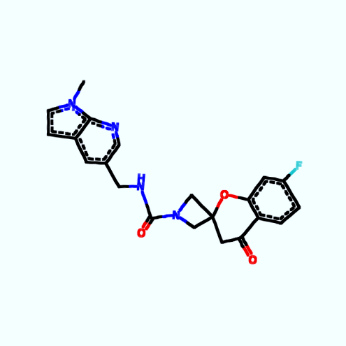 Cn1ccc2cc(CNC(=O)N3CC4(CC(=O)c5ccc(F)cc5O4)C3)cnc21